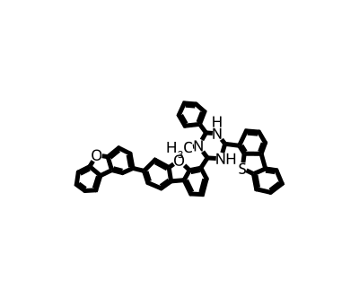 CN1C(c2ccccc2)NC(c2cccc3c2sc2ccccc23)NC1c1cccc2c1oc1cc(-c3ccc4oc5ccccc5c4c3)ccc12